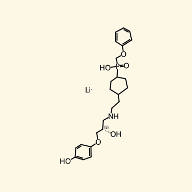 O=P(O)(COc1ccccc1)C1CCC(CCNC[C@H](O)COc2ccc(O)cc2)CC1.[Li]